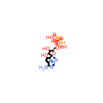 N#C[C@@]1(c2ccc3c(N)ncnn23)O[C@H](COP(=O)(O)PP(=O)(O)PP(=O)(O)O)[C@@H](O)[C@H]1O